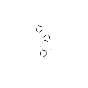 COc1ccc(S(=O)(=O)Nc2ccccc2Oc2ccccc2)c(OC)c1